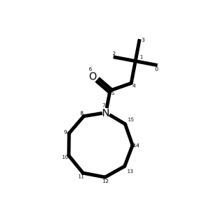 CC(C)(C)CC(=O)N1CCCCCCCC1